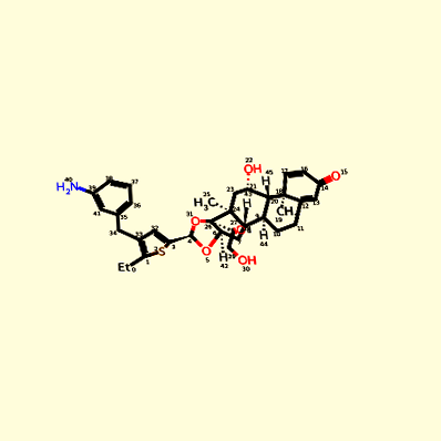 CCc1sc([C@@H]2O[C@@H]3C[C@H]4[C@@H]5CCC6=CC(=O)C=C[C@]6(C)[C@H]5[C@@H](O)C[C@]4(C)[C@]3(C(=O)CO)O2)cc1Cc1cccc(N)c1